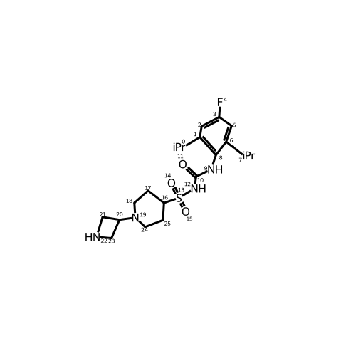 CC(C)c1cc(F)cc(C(C)C)c1NC(=O)NS(=O)(=O)C1CCN(C2CNC2)CC1